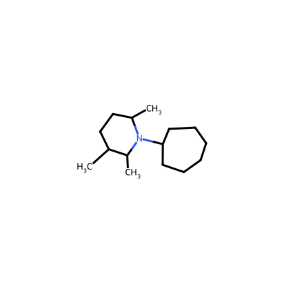 CC1CCC(C)N(C2CCCCCC2)C1C